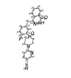 N#Cc1ccc(N2CCP(=O)(c3cc(Cc4n[nH]c(=O)c5ccccc45)ccc3F)CC2)nc1